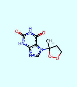 CC1(n2cnc3[nH]c(=O)[nH]c(=O)c32)CCOO1